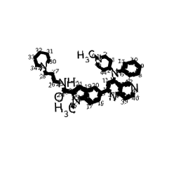 CN1CCC(N(c2ccccc2)c2cc(-c3ccc4c(c3)cc(C(=O)NCCCN3CCCCC3)n4C)nc3ccncc23)CC1